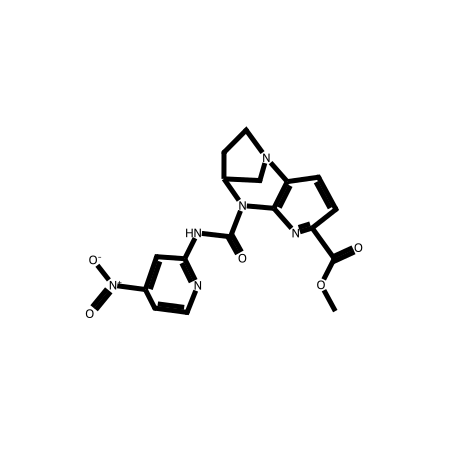 COC(=O)c1ccc2c(n1)N(C(=O)Nc1cc([N+](=O)[O-])ccn1)C1CCN2C1